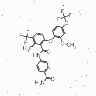 COc1cc(OC(F)(F)F)ccc1Oc1ccc(C(F)(F)F)c(C)c1C(=O)Nc1ccc(C(N)=O)nc1